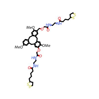 COc1ccc2c(c1)Cc1cc(OCC(=O)NCCNC(=O)CCCCC3CCSS3)c(OC)cc1Cc1cc(COCC(=O)NCCNC(=O)CCCC3CCSS3)c(OC)cc1C2